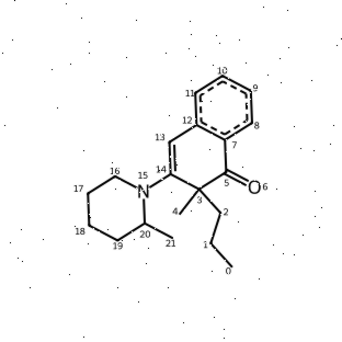 CCCC1(C)C(=O)c2ccccc2C=C1N1CCCCC1C